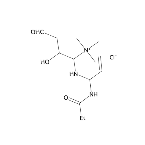 C=CC(NC(=O)CC)NC(C(O)CC=O)[N+](C)(C)C.[Cl-]